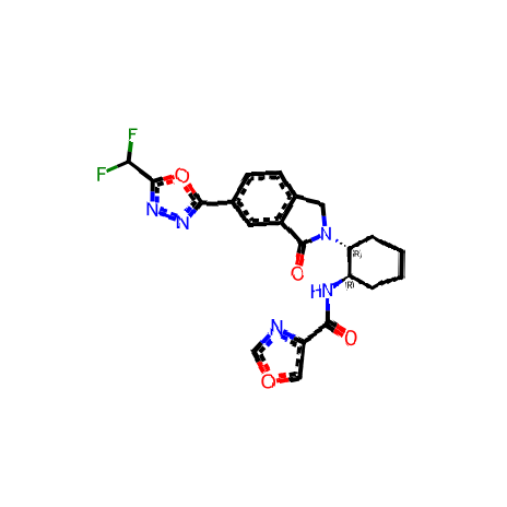 O=C(N[C@@H]1CCCC[C@H]1N1Cc2ccc(-c3nnc(C(F)F)o3)cc2C1=O)c1cocn1